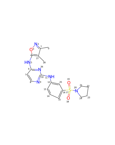 Cc1noc(Nc2ccnc(Nc3cccc(S(=O)(=O)N4CCCC4)c3)n2)c1C